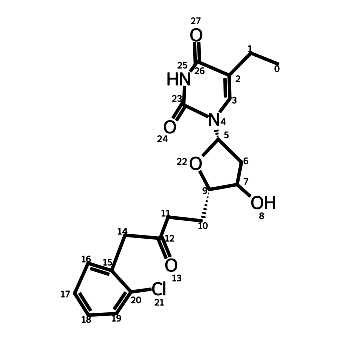 CCc1cn([C@@H]2CC(O)[C@H](CCC(=O)Cc3ccccc3Cl)O2)c(=O)[nH]c1=O